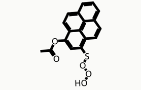 CC(=O)Oc1cc(SOOO)c2ccc3cccc4ccc1c2c43